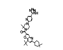 CC1(C)CCC(c2cc(C(C)(C)C)c3oc(C(=O)N4CCN(c5ccc(-c6nnn[nH]6)cn5)CC4(C)C)cc3n2)CC1